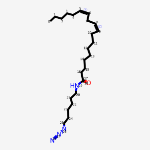 CCCCC/C=C\C/C=C\CCCCCCCC(=O)NCCCCCCN=[N+]=[N-]